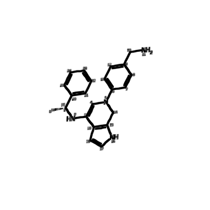 C[C@@H](NC1=CN(c2ccc(CN)cc2)Cc2[nH]ccc21)c1ccccc1